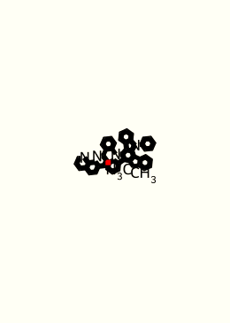 CC1(C)c2ccccc2-c2c1c1c3ccccc3n(-c3ccccc3-c3ccc4ccc5cccnc5c4n3)c1c1c3ccccc3n(-c3ccccc3)c21